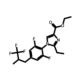 CCOC(=O)c1cn(-c2c(F)cc(CC(C)C(F)(F)F)cc2F)c(CC)n1